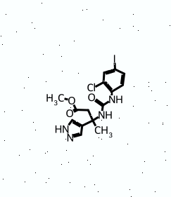 COC(=O)CC(C)(NC(=O)Nc1ccc(I)cc1Cl)c1cn[nH]c1